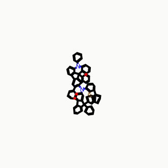 c1ccc(-c2cc3c(cc2N(c2ccc4c(c2)C(c2ccccc2)(c2ccccc2)c2ccccc2-4)c2cccc4c2sc2ccccc24)C2(c4ccccc4)c4ccccc4N(c4ccccc4)c4cccc-3c42)cc1